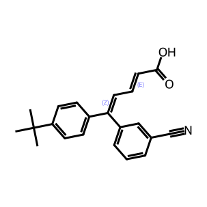 CC(C)(C)c1ccc(/C(=C/C=C/C(=O)O)c2cccc(C#N)c2)cc1